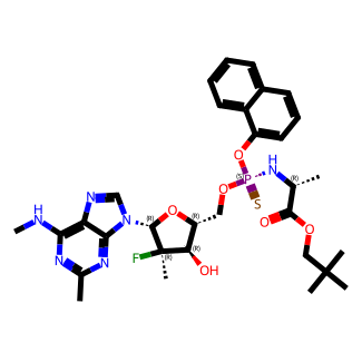 CNc1nc(C)nc2c1ncn2[C@@H]1O[C@H](CO[P@@](=S)(N[C@H](C)C(=O)OCC(C)(C)C)Oc2cccc3ccccc23)[C@@H](O)[C@@]1(C)F